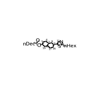 CCCCCCCCCCC(=O)Oc1ccc2cc(-c3cnc(CCCCCC)s3)ccc2c1